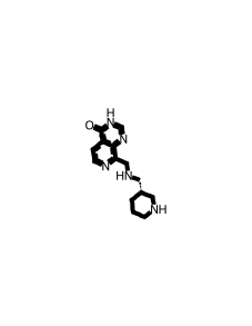 O=c1[nH]cnc2c(CNC[C@H]3CCCNC3)nccc12